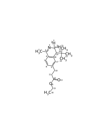 [2H]C1([2H])N=C(C)c2ccc(CCC(=O)OCC)cc2C1C(C)(C)C